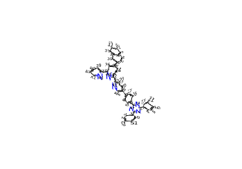 c1ccc(-c2nc(-c3ccccc3)nc(-c3ccc(-c4ccc(-c5cc(-c6ccc7ccccc7c6)cc(-c6ccccn6)n5)nc4)cc3)n2)cc1